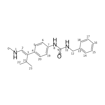 CN/C=C(/c1ccc(NC(=O)NCc2ccccc2)cc1)C(C)C